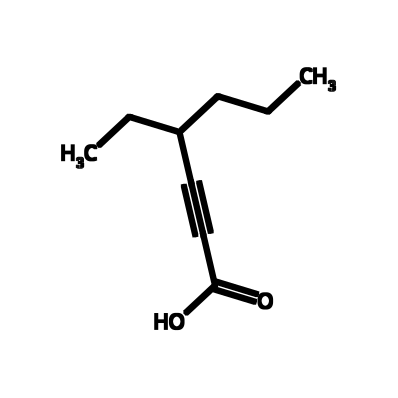 CCCC(C#CC(=O)O)CC